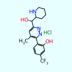 Cc1cc(C(O)C2CCCCN2)nnc1-c1ccc(C(F)(F)F)cc1O.Cl